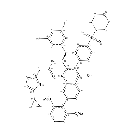 COc1cccc(OC)c1-c1ccc2c(=O)n(-c3ccc(S(=O)(=O)N4CCOCC4)cc3)c([C@H](Cc3cc(F)cc(F)c3)NC(=O)Cn3ccc(C4CC4)n3)nc2c1